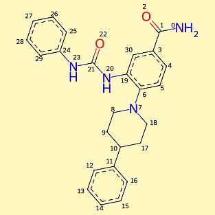 NC(=O)c1ccc(N2CCC(c3ccccc3)CC2)c(NC(=O)Nc2ccccc2)c1